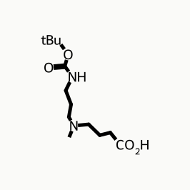 CN(CCCNC(=O)OC(C)(C)C)CCCC(=O)O